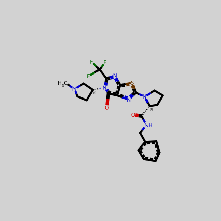 CN1CC[C@@H](n2c(C(F)(F)F)nc3sc(N4CCC[C@@H]4C(=O)NCc4ccccc4)nc3c2=O)C1